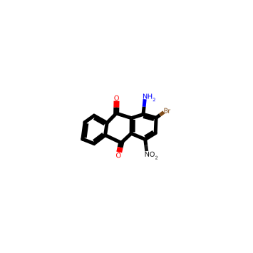 Nc1c(Br)cc([N+](=O)[O-])c2c1C(=O)c1ccccc1C2=O